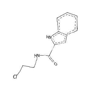 O=C(NCCCl)c1cc2ccccc2[nH]1